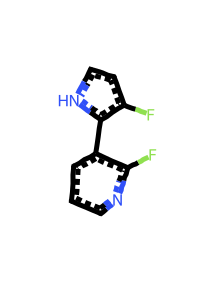 Fc1cc[nH]c1-c1cccnc1F